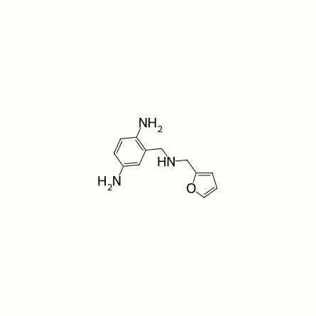 Nc1ccc(N)c(CNCc2ccco2)c1